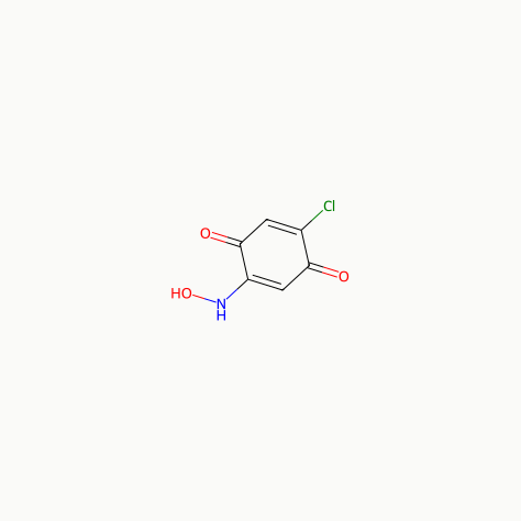 O=C1C=C(NO)C(=O)C=C1Cl